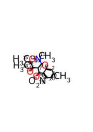 Cc1ccc(C(=O)C2C(=O)N(C)OC(C)(C)C2=O)c([N+](=O)[O-])c1